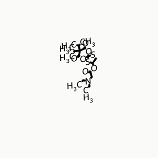 CCN(CC)CC(=O)OC1CSC2(OC(=O)C(C(C)C)(C(C)C)C(=O)O2)S1